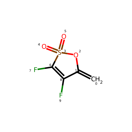 C=C1OS(=O)(=O)C(F)=C1F